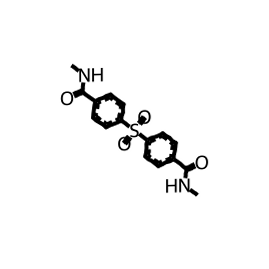 CNC(=O)c1ccc(S(=O)(=O)c2ccc(C(=O)NC)cc2)cc1